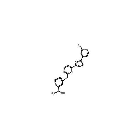 CC(=O)c1cccc(-c2ccc(-c3ccnc(Cc4cccc(C(C)O)c4)n3)s2)c1